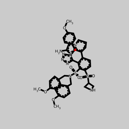 COc1ccc(CN(Cc2ccc(OC)cc2)S(=O)(=O)c2c(S(=O)(=O)C3CNC3)ccc(-c3cccn4cc(N)nc34)c2-c2nnnn2Cc2ccc(OC)cc2)cc1